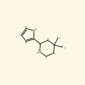 CC1(F)CCOC(c2cccs2)C1